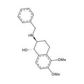 COc1ccc2c(c1OC)CC[C@H](NCc1ccccc1)[C@H]2O